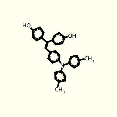 Cc1ccc(N(c2ccc(C)cc2)c2ccc(C=C(c3ccc(O)cc3)c3ccc(O)cc3)cc2)cc1